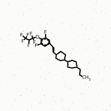 CCCC1CCC(C2CCC(/C=C/c3cc(F)c(OC(F)(F)C(F)C(F)(F)F)c(F)c3)CC2)CC1